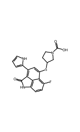 O=C1Nc2ccc(F)c3c(SC4CCN(C(=O)O)C4)cc(-c4ccc[nH]4)c1c23